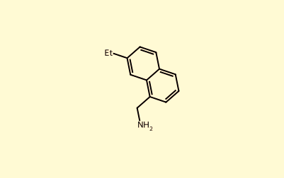 CCc1ccc2cccc(CN)c2c1